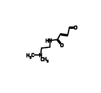 CN(C)CCNC(=O)C=CC=O